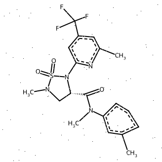 Cc1cccc(N(C)C(=O)[C@@H]2CN(C)S(=O)(=O)N2c2cc(C(F)(F)F)cc(C)n2)c1